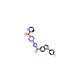 O=C(c1ccc2c(ccn2-c2ccc(F)cc2)c1)N1CC(N2CCN(C(=O)c3c#cccn3)CC2)C1